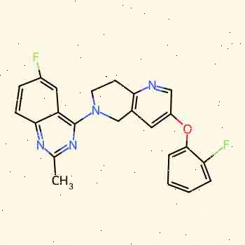 Cc1nc(N2CCc3ncc(Oc4ccccc4F)cc3C2)c2cc(F)ccc2n1